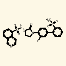 CS(=O)(=O)c1ccccc1-c1ccc(N2CC[C@H](NS(=O)(=O)c3cccc4cnccc34)C2=O)c(F)c1